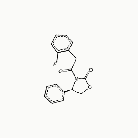 O=C(Cc1ccccc1F)N1C(=O)OC[C@H]1c1ccccc1